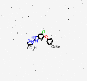 COc1ccc(Oc2cc3nc(-n4cc(C(=O)O)cn4)[nH]c3cc2Cl)cc1